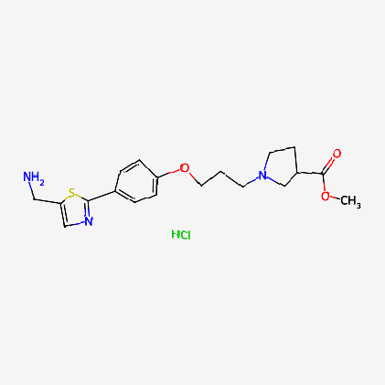 COC(=O)C1CCN(CCCOc2ccc(-c3ncc(CN)s3)cc2)C1.Cl